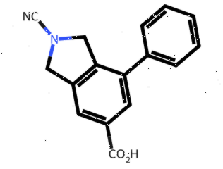 N#CN1Cc2cc(C(=O)O)cc(-c3ccccc3)c2C1